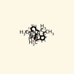 CC(C)c1cccc(C(C)C)c1-n1cc2cccc(N(C)C)n2[c]1=[Au-2][Cl]